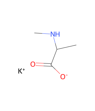 CNC(C)C(=O)[O-].[K+]